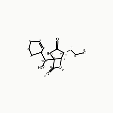 O=C1NC2([C@@H](O)C3C=CCCC3)C(=O)OC2[C@H]1CCCl